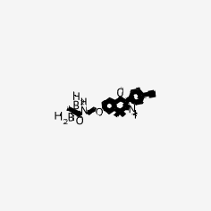 BC(B)(C)C(=O)NCCOc1ccc2c(c1)C(C)(C)c1c(c3ccc(C#C)cc3n1I)C2=O